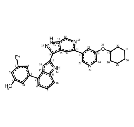 Oc1cc(F)cc(-c2cccc3[nH]c(-c4n[nH]c5cnc(-c6cncc(OC7CCCCC7)c6)cc45)cc23)c1